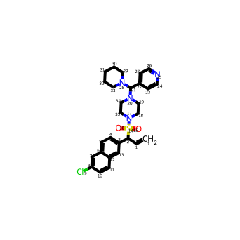 C=CC(c1ccc2cc(Cl)ccc2c1)S(=O)(=O)N1CCN(C(c2ccncc2)N2CCCCC2)CC1